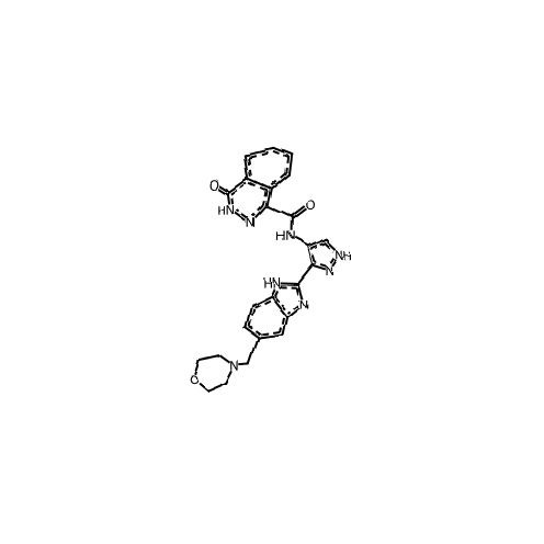 O=C(Nc1c[nH]nc1-c1nc2cc(CN3CCOCC3)ccc2[nH]1)c1n[nH]c(=O)c2ccccc12